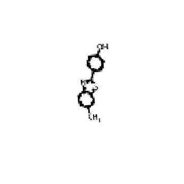 Cc1ccc2nc(-c3ccc(O)cc3)sc2c1